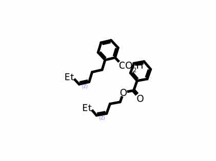 CC/C=C\CCOC(=O)c1ccccc1.CC/C=C\CCc1ccccc1C(=O)O